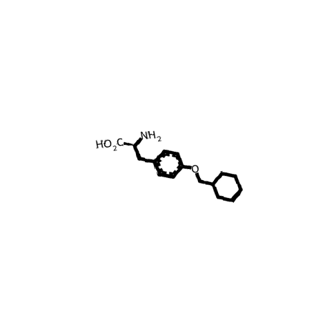 N[C@@H](Cc1ccc(OCC2CCCCC2)cc1)C(=O)O